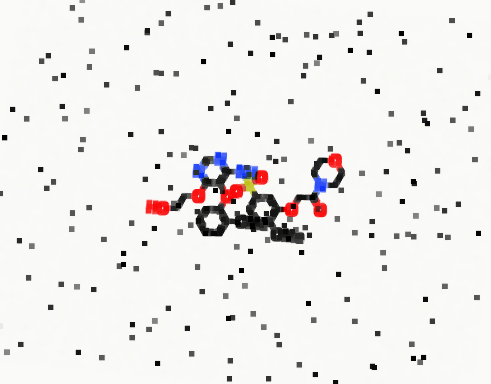 COc1ccc(S(=O)(=O)Nc2ncnc(OCCO)c2Oc2ccccc2OC)cc1OCC(=O)N1CCOCC1